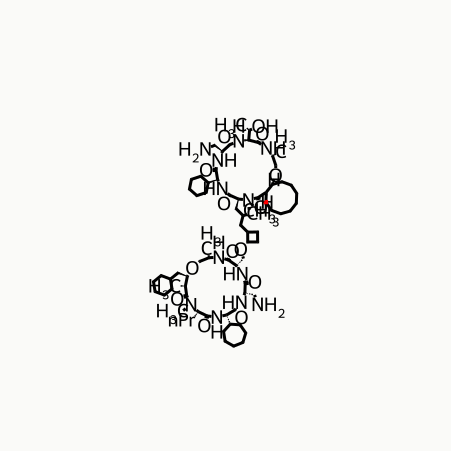 CCC[C@H]1C(=O)N[C@@H](C2CCCCCC2)C(=O)N[C@@H](CN)C(=O)N[C@@H](CO[C@H]2CCC2CC(C)C[C@H]2C(=O)N[C@@H](C3CCCCC3)C(=O)N[C@@H](CN)C(=O)N[C@@H]([C@H](C)O)C(=O)N[C@H](C)CO[C@@H]3CCCCCCCC[C@H]3C(=O)N2C)C(=O)N[C@H](C)CO[C@H](CC2CCCCC2)[C@@H](C)C(=O)N1C